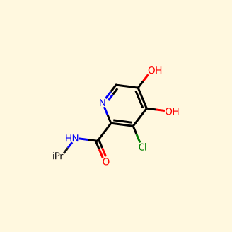 CC(C)NC(=O)c1ncc(O)c(O)c1Cl